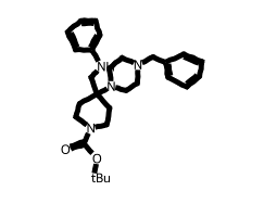 CC(C)(C)OC(=O)N1CCC(CNc2ccccc2)(N2CCN(Cc3ccccc3)CC2)CC1